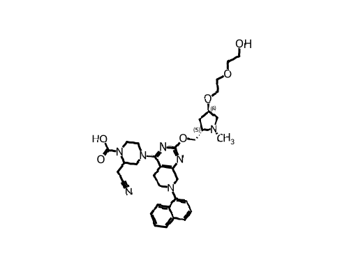 CN1C[C@H](OCCOCCO)C[C@H]1COc1nc2c(c(N3CCN(C(=O)O)C(CC#N)C3)n1)CCN(c1cccc3ccccc13)C2